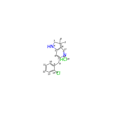 CC1(C)CNc2cc(Cc3ccccc3Cl)ncc21.Cl